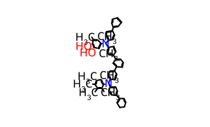 Cc1c(C)c(C)c(N(c2ccc(C3=CCCC=C3)cc2)c2ccc(-c3cccc(-c4ccc(N(c5ccc(-c6ccccc6)cc5)c5c(C)c(C)c(O)c(O)c5C)cc4)c3)cc2)c(C)c1C